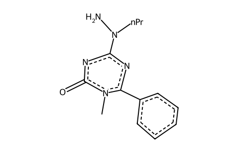 CCCN(N)c1nc(-c2ccccc2)n(C)c(=O)n1